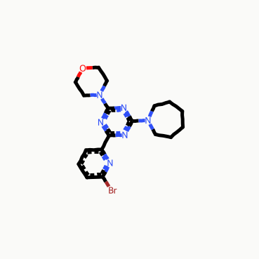 Brc1cccc(-c2nc(N3CCCCCC3)nc(N3CCOCC3)n2)n1